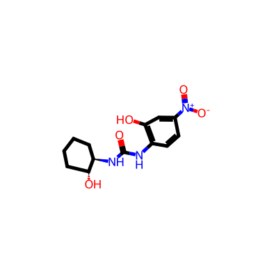 O=C(Nc1ccc([N+](=O)[O-])cc1O)N[C@@H]1CCCC[C@H]1O